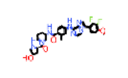 COc1ccc(-c2cnc3c(Nc4ccc(C(=O)N[C@@H]5CCCN(C(=O)[C@H]6C[C@H](O)CN6)C5)c(C)c4)nccn23)c(F)c1F